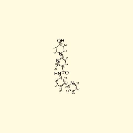 Cc1ccc(NC(=O)c2ccc(N3CCC(O)CC3)nc2C)cc1-c1ccccn1